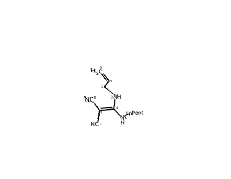 C=CCNC(NCCCCC)=C(C#N)C#N